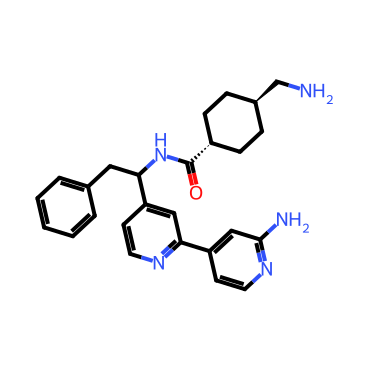 NC[C@H]1CC[C@H](C(=O)NC(Cc2ccccc2)c2ccnc(-c3ccnc(N)c3)c2)CC1